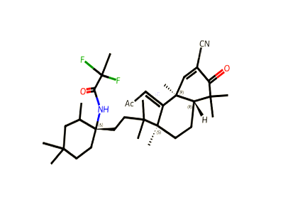 CC(=O)/C=C1/[C@@]2(C)C=C(C#N)C(=O)C(C)(C)[C@@H]2CC[C@@]1(C)C(C)(C)CC[C@@]1(NC(=O)C(C)(F)F)CCC(C)(C)CC1C